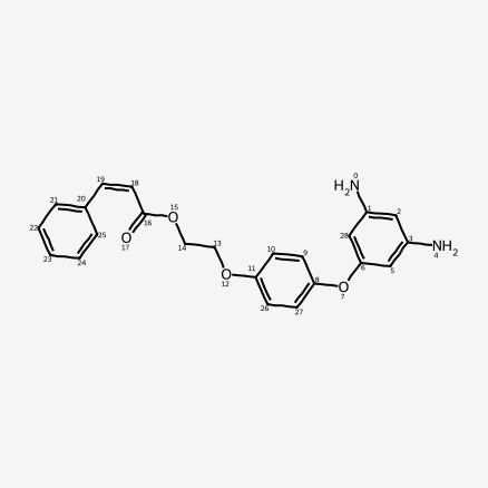 Nc1cc(N)cc(Oc2ccc(OCCOC(=O)/C=C\c3ccccc3)cc2)c1